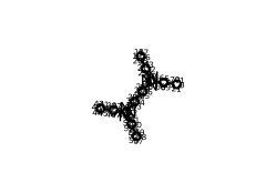 c1ccc(-c2ccc(-c3nc(-c4ccc(-c5ccccc5)cc4)nc(-c4ccc(-c5ccc(-c6nc(-c7ccc(-c8ccccc8)cc7)nc(-c7ccc(-c8ccccc8)cc7)n6)cc5)cc4)n3)cc2)cc1